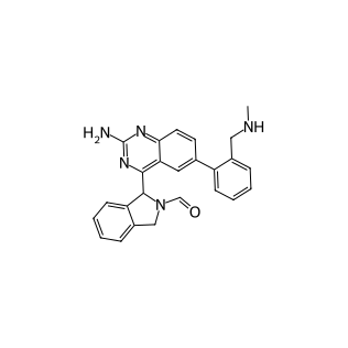 CNCc1ccccc1-c1ccc2nc(N)nc(C3c4ccccc4CN3C=O)c2c1